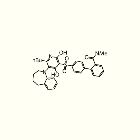 CCCCc1nc(O)c(S(=O)(=O)c2ccc(-c3ccccc3C(=O)NC)cc2)c(O)c1N1CCCCc2ccccc21